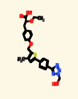 CCOC(Cc1ccc(OCc2sc(-c3ccc(-c4nnn(CO)n4)cc3)cc2C)cc1)C(=O)O